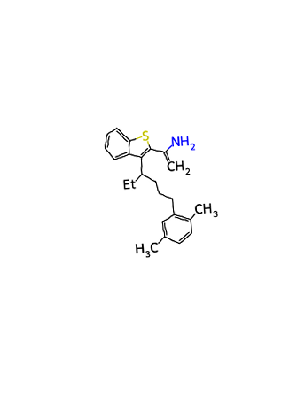 C=C(N)c1sc2ccccc2c1C(CC)CCCc1cc(C)ccc1C